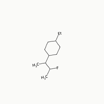 CCC1CCC(C(C)C(C)F)CC1